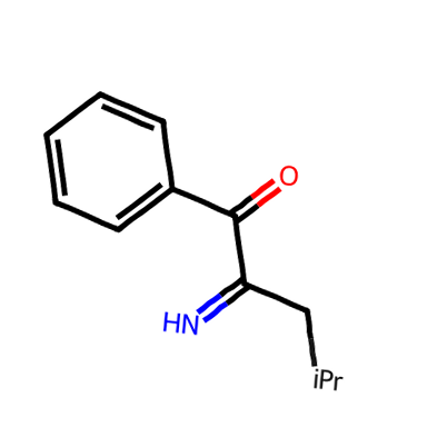 [CH2]C(C)CC(=N)C(=O)c1ccccc1